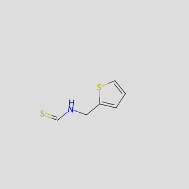 S=CNCc1cccs1